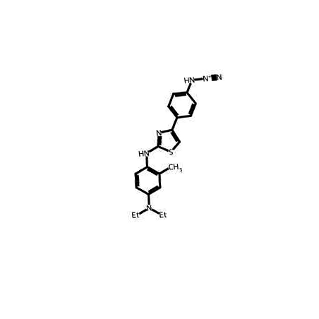 CCN(CC)c1ccc(Nc2nc(-c3ccc(N[N+]#N)cc3)cs2)c(C)c1